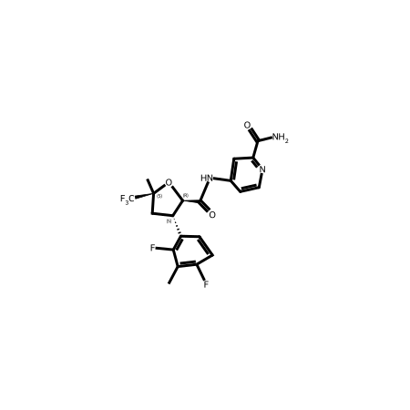 Cc1c(F)ccc([C@@H]2C[C@@](C)(C(F)(F)F)O[C@H]2C(=O)Nc2ccnc(C(N)=O)c2)c1F